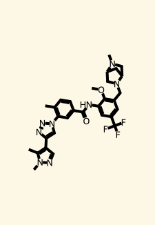 COc1c(CN2CC3CC2CN3C)cc(C(F)(F)F)cc1NC(=O)c1ccc(C)c(-n2cc(-c3cnn(C)c3C)nn2)c1